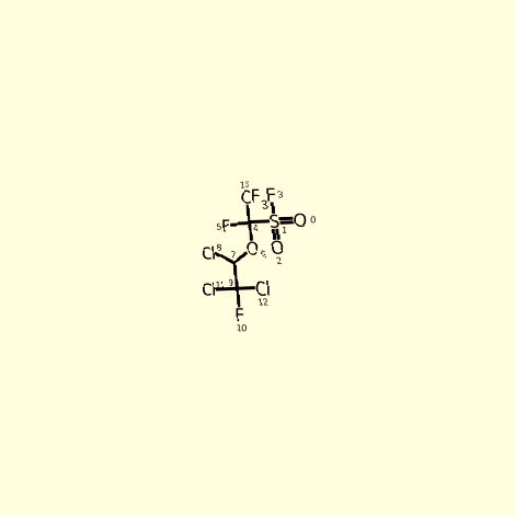 O=S(=O)(F)C(F)(OC(Cl)C(F)(Cl)Cl)C(F)(F)F